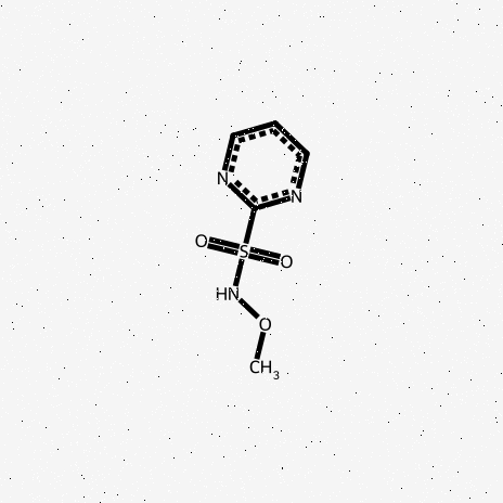 CONS(=O)(=O)c1ncccn1